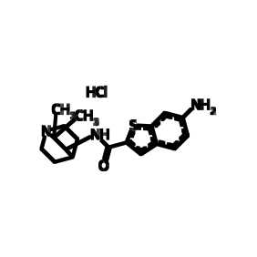 CC1(C)C(NC(=O)c2cc3ccc(N)cc3s2)C2CCN1CC2.Cl